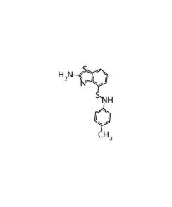 Cc1ccc(NSc2cccc3sc(N)nc23)cc1